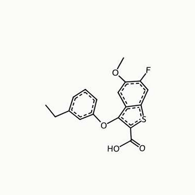 CCc1cccc(Oc2c(C(=O)O)sc3cc(F)c(OC)cc23)c1